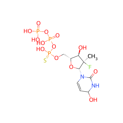 C[C@@]1(F)[C@H](O)[C@@H](COP(O)(=S)OP(=O)(O)OP(=O)(O)O)O[C@H]1N1C=CC(O)NC1=O